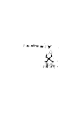 CC(=O)O.N=[N+]=N.N=[N+]=N.N=[N+]=N.N=[N+]=N.OCC(CO)(CO)CO